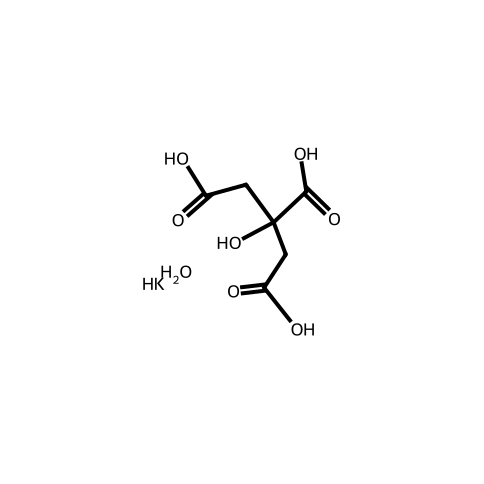 O.O=C(O)CC(O)(CC(=O)O)C(=O)O.[KH]